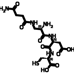 NC(=O)CCC(=O)NC[C@H](N)C(=O)N[C@@H](CC(=O)O)C(=O)N[C@@H](CS)C(=O)O